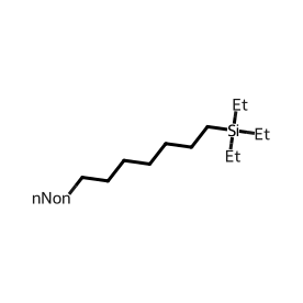 CCCCCCCCCCCCCCCC[Si](CC)(CC)CC